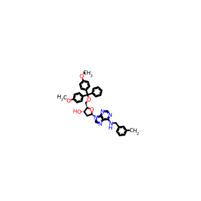 [CH2]c1cccc(CNc2ncnc3c2ncn3[C@H]2C[C@H](O)[C@@H](COC(c3ccccc3)(c3ccc(OC)cc3)c3ccc(OC)cc3)O2)c1